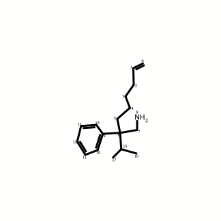 C=CCCCCC(CN)(c1ccccc1)C(C)C